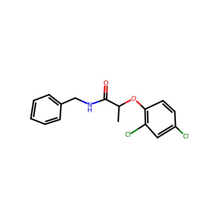 CC(Oc1ccc(Cl)cc1Cl)C(=O)NCc1ccccc1